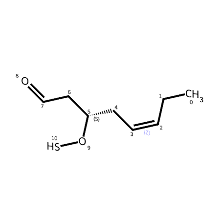 CC/C=C\C[C@@H](CC=O)OS